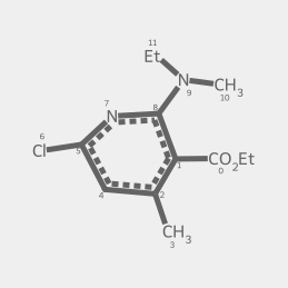 CCOC(=O)c1c(C)cc(Cl)nc1N(C)CC